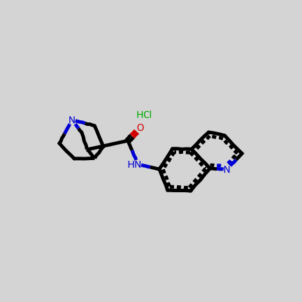 Cl.O=C(Nc1ccc2ncccc2c1)C1CN2CCC1CC2